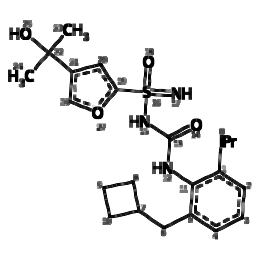 CC(C)c1cccc(CC2CCC2)c1NC(=O)NS(=N)(=O)c1cc(C(C)(C)O)co1